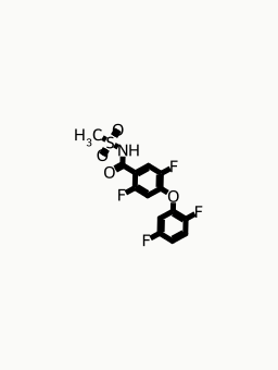 CS(=O)(=O)NC(=O)c1cc(F)c(Oc2cc(F)ccc2F)cc1F